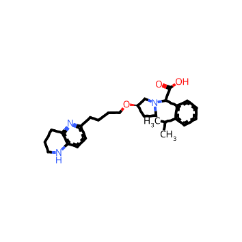 CC(C)c1ccccc1C(C(=O)O)N1CC[C@@H](OCCCCc2ccc3c(n2)CCCN3)C1